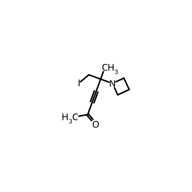 CC(=O)C#CC(C)(CI)N1CCC1